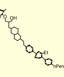 C=C(C)C(=O)OCC(CO)CC1CCC2CC(CCc3ccc(-c4ccc(-c5ccc(CCCCC)cc5)c(CC)c4)cc3)CCC2C1